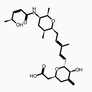 C=C1C[C@@H](CC(=O)O)O[C@H](/C=C/C(C)=C/C[C@@H]2O[C@H](C)[C@H](NC(=O)/C=C\[C@H](C)O)C[C@@H]2C)[C@H]1O